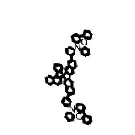 c1ccc(N(c2cccc(-c3ccc4cc5c(cc4c3)C3(c4cc6cc(-c7cccc(N(c8ccccc8)c8cccc9c8oc8ccccc89)c7)ccc6cc4-5)c4ccccc4-c4c3ccc3ccccc43)c2)c2cccc3c2oc2ccccc23)cc1